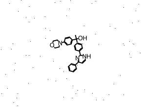 CC(O)(c1ccc(C2N=C(c3ccccc3)C=CN2)cc1)c1ccc(N2CCOCC2)cc1